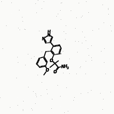 COc1cccc(Cc2c(OC(C)(C)C(N)=O)[c]ccc2-c2cn[nH]c2)c1